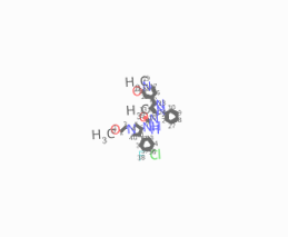 COCCN1C[C@@H](NC(=O)Nc2c(C)c(-c3ccn(C)c(=O)c3)nn2-c2ccccc2)[C@H](c2ccc(Cl)c(F)c2)C1